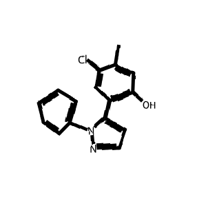 Cc1cc(O)c(-c2ccnn2-c2ccccc2)cc1Cl